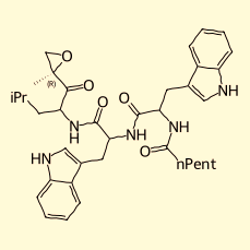 CCCCCC(=O)NC(Cc1c[nH]c2ccccc12)C(=O)NC(Cc1c[nH]c2ccccc12)C(=O)NC(CC(C)C)C(=O)[C@@]1(C)CO1